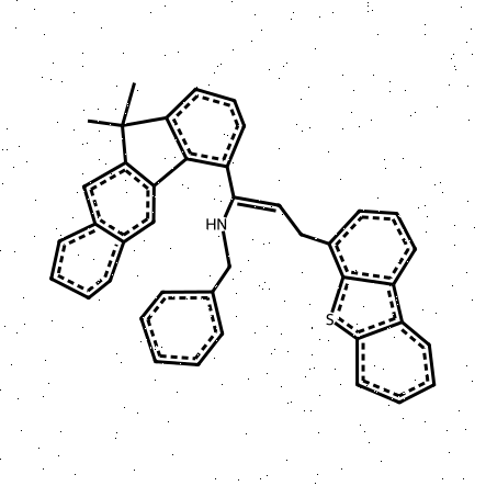 CC1(C)c2cc3ccccc3cc2-c2c(/C(=C/Cc3cccc4c3sc3ccccc34)NCc3ccccc3)cccc21